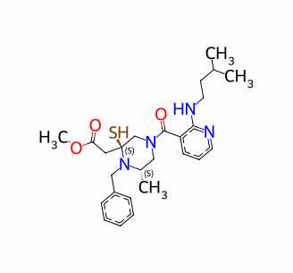 COC(=O)C[C@]1(S)CN(C(=O)c2cccnc2NCCC(C)C)C[C@H](C)N1Cc1ccccc1